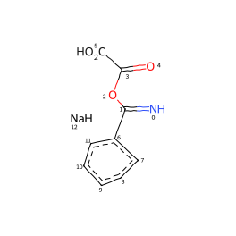 N=C(OC(=O)C(=O)O)c1ccccc1.[NaH]